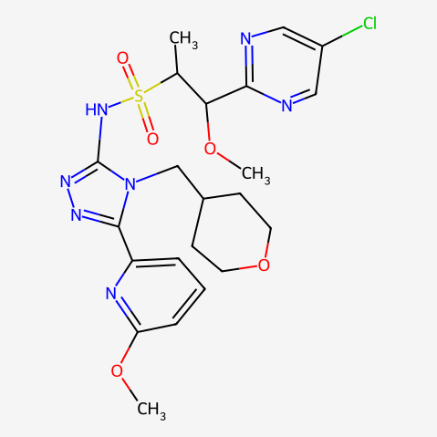 COc1cccc(-c2nnc(NS(=O)(=O)C(C)C(OC)c3ncc(Cl)cn3)n2CC2CCOCC2)n1